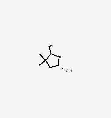 CC1(C)C[C@@H](C(=O)O)NC1O